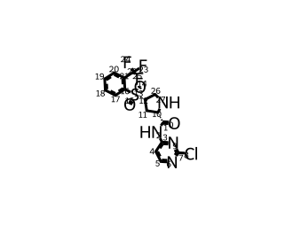 O=C(Nc1ccnc(Cl)n1)[C@@H]1C[C@H](S(=O)(=O)c2ccccc2C(F)(F)F)CN1